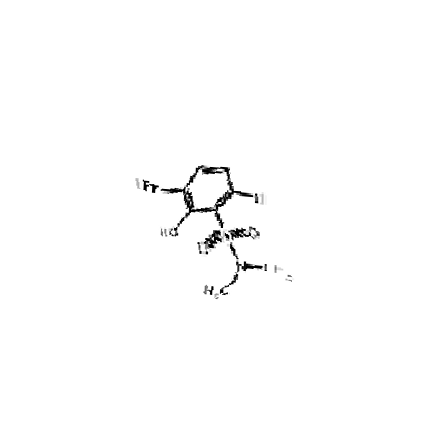 CC(C)c1ccc(Cl)c(S(=O)(=O)N(C)C)c1O